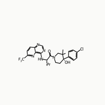 CC(C)[C@@H](Nc1ncnc2ccc(C(F)(F)F)nc12)C(=O)N1CC[C@](O)(c2ccc(Cl)cc2)C(C)(C)C1